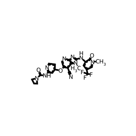 Cn1cc(C(F)(F)F)cc(Nc2nc3ncc(Oc4ccnc(NC(=O)N5CCC5)c4)c(C#N)c3n2C)c1=O